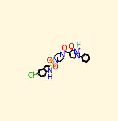 O=C(C1=CCN(c2ccccc2)N(CF)C1=O)N1CCN(S(=O)(=O)c2cc3cc(Cl)ccc3[nH]2)CC1